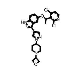 CC(Oc1ccc2[nH]nc(-c3cnn(C4CCN(C5COC5)CC4)c3)c2c1)c1c(Cl)ccnc1Cl